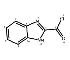 O=C(Cl)c1nc2ccccc2[nH]1